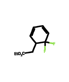 CCOC(=O)CC1C=CC=CC1(F)F